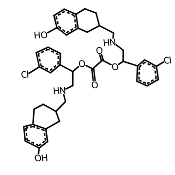 O=C(OC(CNCC1CCc2ccc(O)cc2C1)c1cccc(Cl)c1)C(=O)OC(CNCC1CCc2ccc(O)cc2C1)c1cccc(Cl)c1